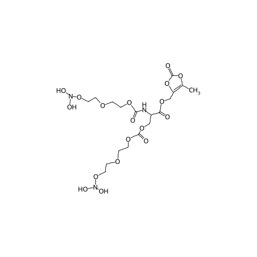 Cc1oc(=O)oc1COC(=O)C(COC(=O)OCCOCCON(O)O)NC(=O)OCCOCCON(O)O